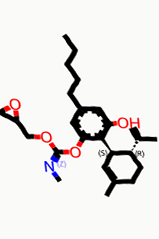 C=C(C)[C@@H]1CCC(C)=C[C@H]1c1c(O)cc(CCCCC)cc1O/C(=N\C)OCC1CO1